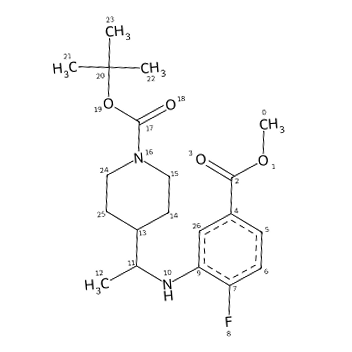 COC(=O)c1ccc(F)c(NC(C)C2CCN(C(=O)OC(C)(C)C)CC2)c1